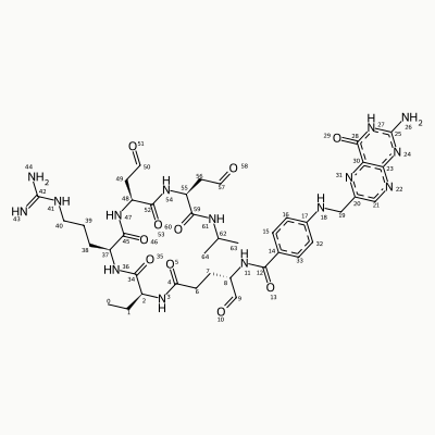 CC[C@H](NC(=O)CC[C@@H](C=O)NC(=O)c1ccc(NCc2cnc3nc(N)[nH]c(=O)c3n2)cc1)C(=O)N[C@@H](CCCNC(=N)N)C(=O)N[C@@H](CC=O)C(=O)N[C@@H](CC=O)C(=O)NC(C)C